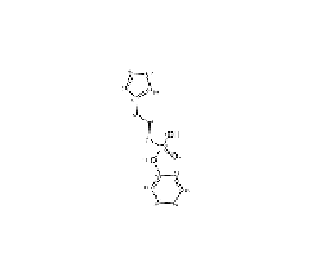 O=P(O)(CCCc1ccsc1)Oc1ccccc1